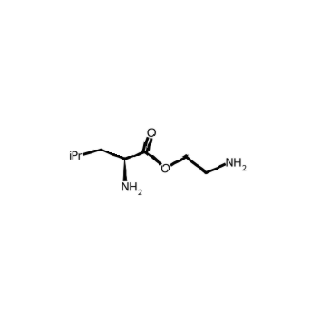 CC(C)C[C@H](N)C(=O)OCCN